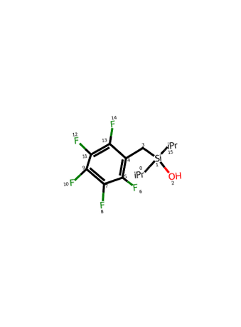 CC(C)[Si](O)(Cc1c(F)c(F)c(F)c(F)c1F)C(C)C